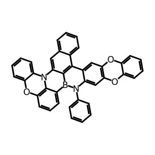 c1ccc(N2B3c4cccc5c4N(c4ccccc4O5)c4cc5ccccc5c(c43)-c3cc4c(cc32)Oc2ccccc2O4)cc1